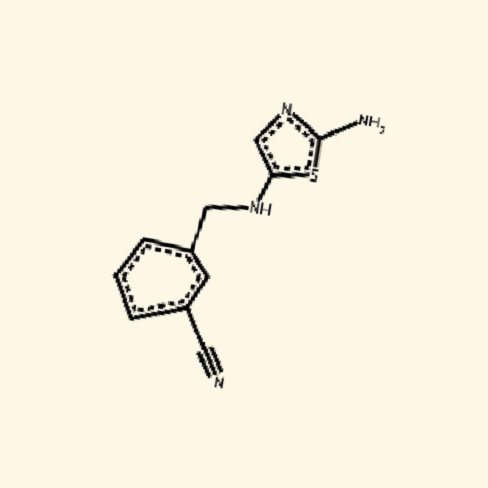 N#Cc1cccc(CNc2cnc(N)s2)c1